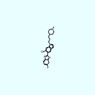 CN1CCC(CCCn2ccc3cc(C4=NC5=CC=C(F)CC5=N4)c(Cl)cc32)CC1